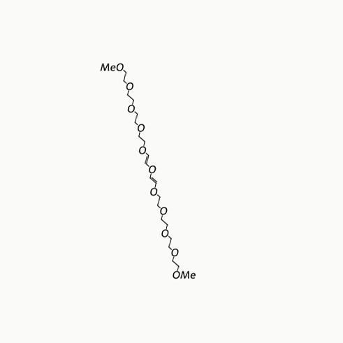 COCCOCCOCCOCCOC=COC=COCCOCCOCCOCCOC